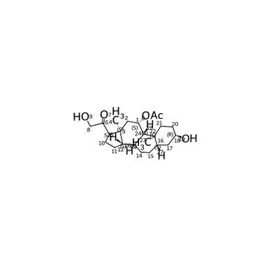 CC(=O)O[C@H]1C[C@]2(C)C(C(=O)CO)CC[C@H]2[C@@H]2CC[C@H]3C[C@H](O)CC[C@]3(C)[C@H]21